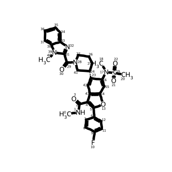 CNC(=O)c1c(-c2ccc(F)cc2)oc2cc(N(C)S(C)(=O)=O)c([C@H]3CCCN(C(=O)c4nc5ccccc5n4C)C3)cc12